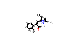 CCCC(=O)/C(=C\c1[nH]c(C)cc1C)c1ccccc1C